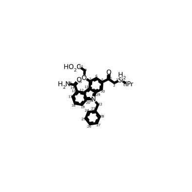 CC(C)[SiH2]CC(=O)c1cc(OCC(=O)O)c2c3c(C(N)=O)cccc3n(Cc3ccccc3)c2c1